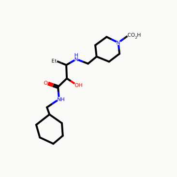 CCC(NCC1CCN(C(=O)O)CC1)C(O)C(=O)NCC1CCCCC1